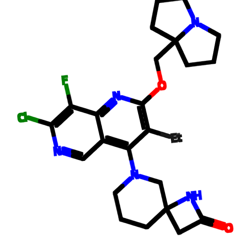 CCc1c(OCC23CCCN2CCC3)nc2c(F)c(Cl)ncc2c1N1CCCC2(CC(=O)N2)C1